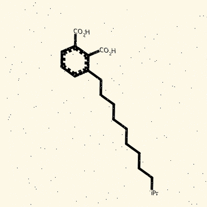 CC(C)CCCCCCCCCc1cccc(C(=O)O)c1C(=O)O